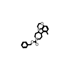 Cc1ccc2c3c1C1CCN(C(=O)OCc4ccccc4)CCC1N3CCO2